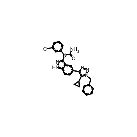 NC(=O)N(c1cccc(Cl)c1)c1n[nH]c2ccc(-c3nnn(Cc4ccccc4)c3C3CC3)cc12